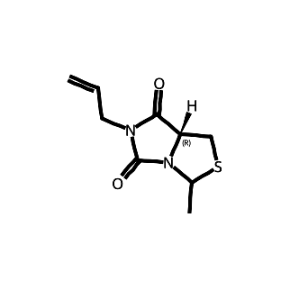 C=CCN1C(=O)[C@@H]2CSC(C)N2C1=O